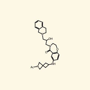 CC(=O)N1CC2(CC(Nc3ccc4c(c3)C(=O)N(CC(O)CN3CCc5ccccc5C3)CCO4)C2)C1